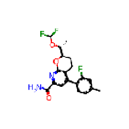 Cc1ccc(-c2cc(C(N)=O)nc3c2CC[C@H]([C@@H](C)OC(F)F)O3)c(F)c1